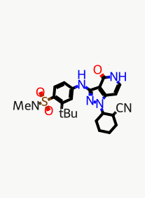 CNS(=O)(=O)c1ccc(Nc2nn(C3CCCCC3C#N)c3cc[nH]c(=O)c23)cc1C(C)(C)C